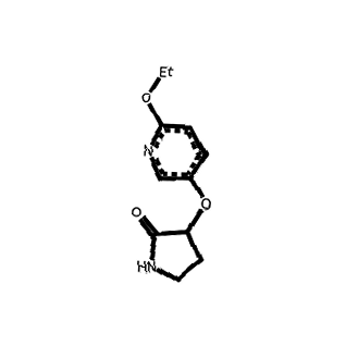 CCOc1ccc(OC2CCNC2=O)cn1